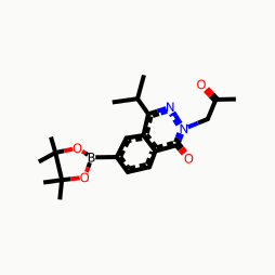 CC(=O)Cn1nc(C(C)C)c2cc(B3OC(C)(C)C(C)(C)O3)ccc2c1=O